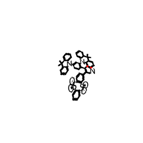 CC1(C)c2ccccc2N(c2ccc(-c3ccncc3-c3ccc4c(c3)S(=O)(=O)c3ccccc3S4(=O)=O)c(N3c4ccccc4C(C)(C)c4ccccc43)c2)c2ccccc21